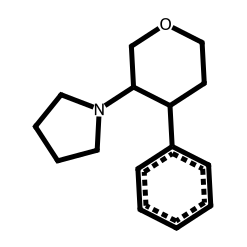 c1ccc(C2CCOCC2N2CCCC2)cc1